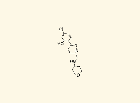 Oc1cc(Cl)ccc1-c1ccc(CNC2CCOCC2)nn1